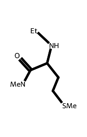 CCNC(CCSC)C(=O)NC